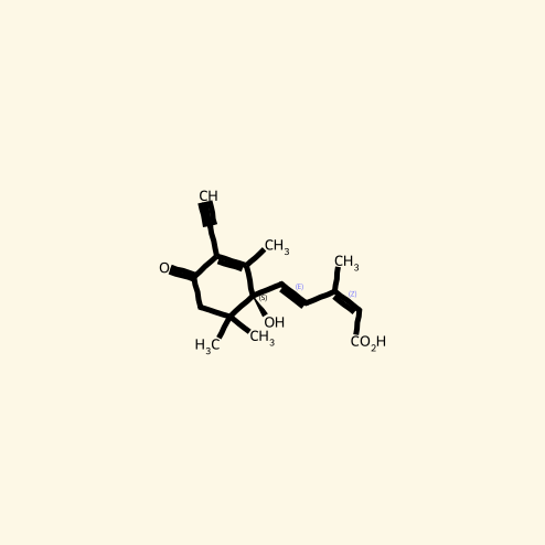 C#CC1=C(C)[C@](O)(/C=C/C(C)=C\C(=O)O)C(C)(C)CC1=O